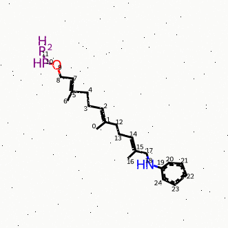 C/C(=C\CC/C(C)=C/COPP)CC/C=C(\C)CNc1ccccc1